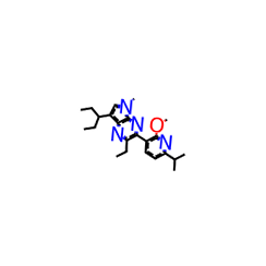 CCc1nc2c(C(CC)CC)cn(C)c2nc1-c1ccc(C(C)C)nc1OC